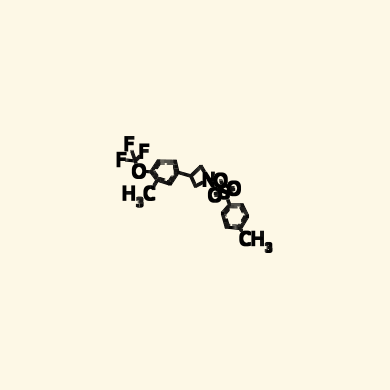 Cc1ccc(S(=O)(=O)ON2CC(c3ccc(OC(F)(F)F)c(C)c3)C2)cc1